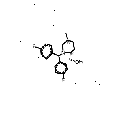 C[C@H]1CC[C@H](CO)N(C(c2ccc(F)cc2)c2ccc(F)cc2)C1